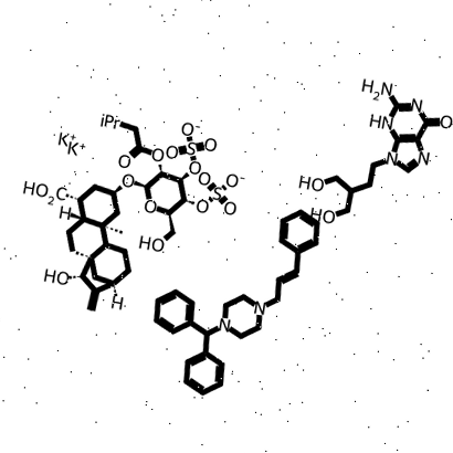 C(=C\c1ccccc1)/CN1CCN(C(c2ccccc2)c2ccccc2)CC1.C=C1[C@@H]2CCC3[C@@](CC[C@@H]4[C@H](C(=O)O)C[C@@H](O[C@@H]5O[C@H](CO)[C@@H](OS(=O)(=O)[O-])[C@H](OS(=O)(=O)[O-])[C@H]5OC(=O)CC(C)C)C[C@@]34C)(C2)[C@H]1O.Nc1nc(=O)c2ncn(CCC(CO)CO)c2[nH]1.[K+].[K+]